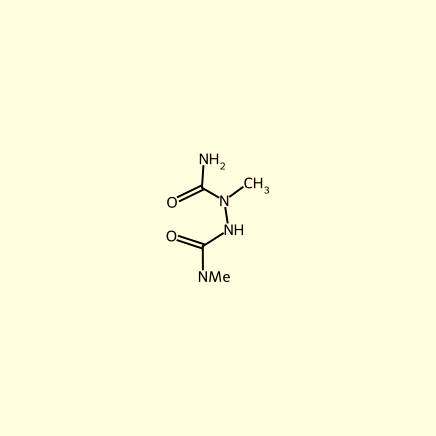 CNC(=O)NN(C)C(N)=O